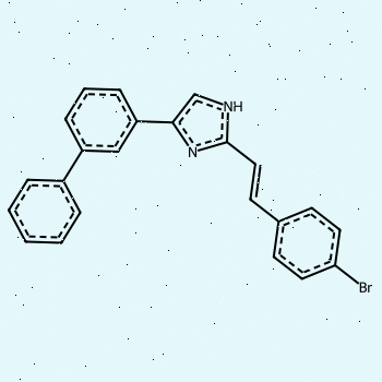 Brc1ccc(C=Cc2nc(-c3cccc(-c4ccccc4)c3)c[nH]2)cc1